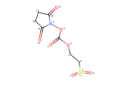 O=C(OCC[SH](=O)=O)ON1C(=O)CCC1=O